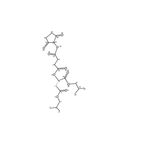 CC(C)COC(=O)C[C@H](OC(=O)CCC(=O)ON1C(=O)CCC1=O)C(=O)OCC(C)C